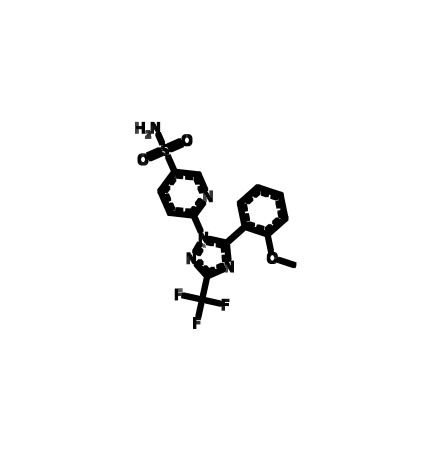 COc1ccccc1-c1nc(C(F)(F)F)nn1-c1ccc(S(N)(=O)=O)cn1